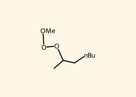 CCCCCC(C)OOOC